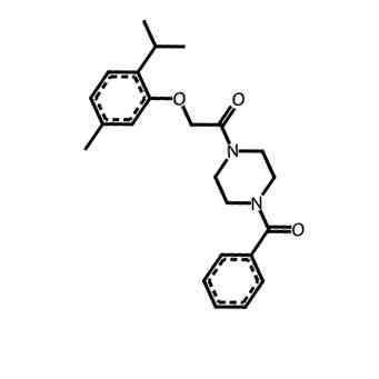 Cc1ccc(C(C)C)c(OCC(=O)N2CCN(C(=O)c3ccccc3)CC2)c1